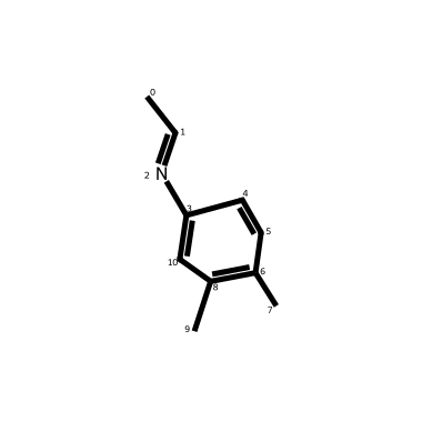 CC=Nc1ccc(C)c(C)c1